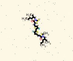 C=c1s/c(=C\c2cc(F)c(-c3sc(/C=C4\SC(=S)N(CC(CC)CCCC)C4=O)cc3F)s2)c(=O)n1CC(CC)CCCC